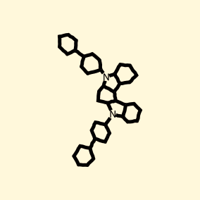 C1CCC(C2CCC(N3C4CCCCC4C4C5C6CCCCC6N(C6CCC(C7CCCCC7)CC6)C5CCC43)CC2)CC1